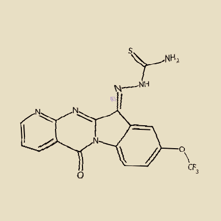 NC(=S)N/N=C1\c2cc(OC(F)(F)F)ccc2-n2c1nc1ncccc1c2=O